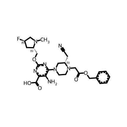 CN1C[C@H](F)C[C@H]1COc1nc(C(=O)O)c(N)c(N2CCN(CC(=O)OCc3ccccc3)[C@@H](CC#N)C2)n1